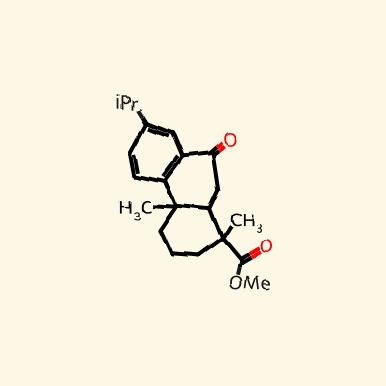 COC(=O)C1(C)CCCC2(C)c3ccc(C(C)C)cc3C(=O)CC12